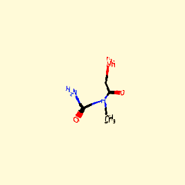 CN(C(N)=O)C(=O)CO